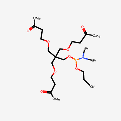 COC(=O)CCOCC(COCCC(=O)OC)(COCCC(=O)OC)COP(OCCC#N)N(C(C)C)C(C)C